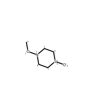 CON1CC[S+]([O-])CC1